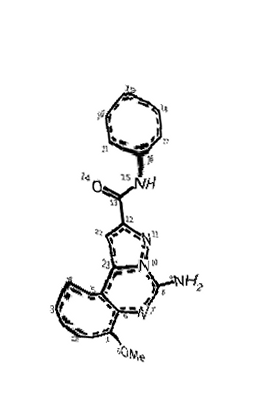 COc1cccc2c1nc(N)n1nc(C(=O)Nc3ccccc3)cc21